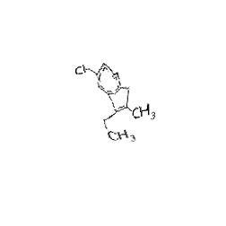 CCC1=C(C)Cc2ccc(Cl)cc21